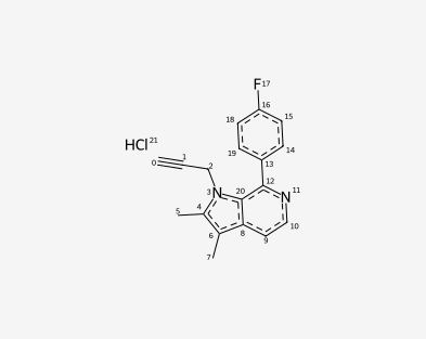 C#CCn1c(C)c(C)c2ccnc(-c3ccc(F)cc3)c21.Cl